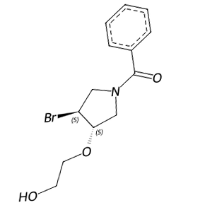 O=C(c1ccccc1)N1C[C@H](OCCO)[C@@H](Br)C1